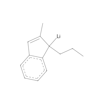 [Li][C]1(CCC)C(C)=Cc2ccccc21